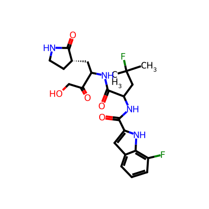 CC(C)(F)CC(NC(=O)c1cc2cccc(F)c2[nH]1)C(=O)NC(C[C@@H]1CCNC1=O)C(=O)CO